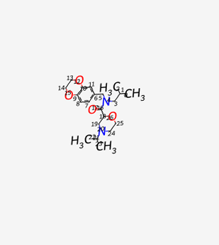 CC(C)CN(Cc1ccc2c(c1)OCCO2)C(=O)C1CN(C(C)C)CCO1